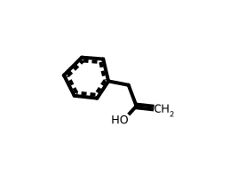 C=C(O)Cc1ccccc1